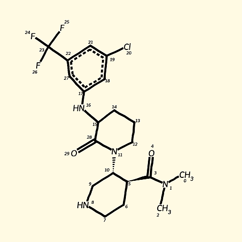 CN(C)C(=O)[C@H]1CCNC[C@@H]1N1CCCC(Nc2cc(Cl)cc(C(F)(F)F)c2)C1=O